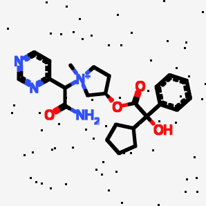 C[N+]1(C(C(N)=O)c2ccncn2)CC[C@@H](OC(=O)C(O)(c2ccccc2)C2CCCC2)C1